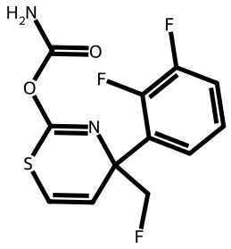 NC(=O)OC1=NC(CF)(c2cccc(F)c2F)C=CS1